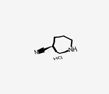 Cl.N#C[C@H]1CCCNC1